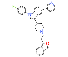 Fc1ccc(-n2cc(C3CCN(CCc4occ5ccccc45)CC3)c3cc(-c4cccnc4)ccc32)cc1